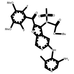 COc1cc(OC)c(F)c(C(=O)c2oc3cnc(Nc4c(C)cncc4N)cc3c2N(C(=O)OC(C)(C)C)S(C)(=O)=O)c1F